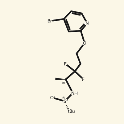 C[C@H](N[S@@+]([O-])C(C)(C)C)C(F)(F)CCOc1cc(Br)ccn1